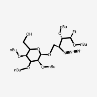 CCCCOC1[C@@H](OCCCC)C(CO)O[C@@H](OC[C@H](N=[N+]=[N-])[C@H](OCCCC)[C@@H](CC)OCCCC)[C@H]1OCCCC